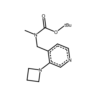 CN(Cc1ccncc1N1CCC1)C(=O)OC(C)(C)C